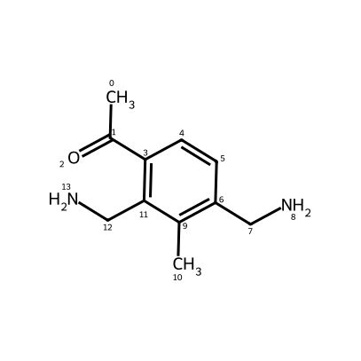 CC(=O)c1ccc(CN)c(C)c1CN